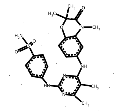 Cc1nc(Nc2ccc(S(N)(=O)=O)cc2)nc(Nc2ccc3c(c2)N(C)C(=O)C(C)(C)O3)c1C